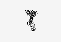 O=C(c1ccc(Cc2ccccc2)cc1)N1CC(N2CCN(C(=O)c3nccs3)C(c3ccccc3)C2)C1